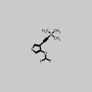 C[Si](C)(C)C#Cc1cscc1OC(F)F